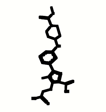 COC(=O)N1CCC(Nc2cccc(-c3sc(C(=O)O)c(OCC(=O)O)c3C)c2)CC1